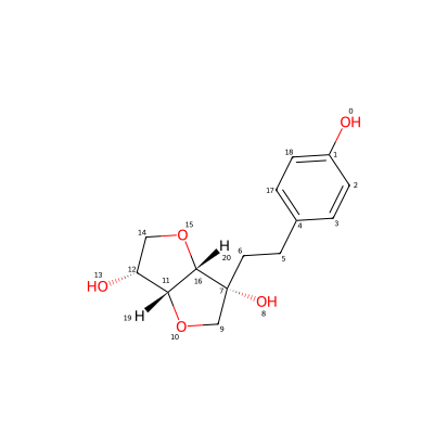 Oc1ccc(CC[C@@]2(O)CO[C@@H]3[C@H](O)CO[C@@H]32)cc1